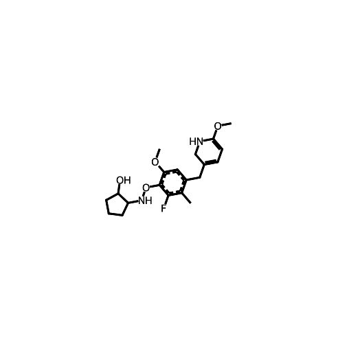 COC1=CC=C(Cc2cc(OC)c(ONC3CCCC3O)c(F)c2C)CN1